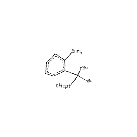 CCCCCCCC(CCCC)(CCCC)c1cccc[c]1[SnH3]